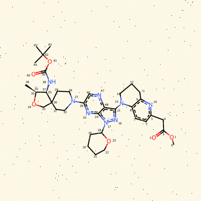 COC(=O)Cc1ccc2c(n1)CCCN2c1nn(C2CCCCO2)c2nc(N3CCC4(CC3)CO[C@@H](C)[C@H]4NC(=O)OC(C)(C)C)cnc12